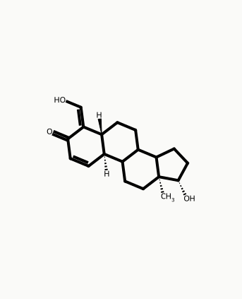 C[C@]12CCC3C(CC[C@H]4/C(=C/O)C(=O)C=C[C@H]34)C1CC[C@@H]2O